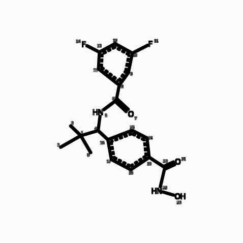 CC(C)(C)C(NC(=O)c1cc(F)cc(F)c1)c1ccc(C(=O)NO)cc1